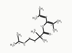 CC(C)=CC(OC(=O)C(C)(C)CCOC(C)C)=C(C)C